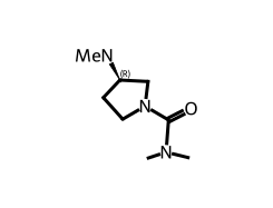 CN[C@@H]1CCN(C(=O)N(C)C)C1